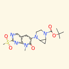 Cn1c(=O)c(N2CCN(C(=O)OC(C)(C)C)C3CC32)cc2cnc(S(C)(=O)=O)nc21